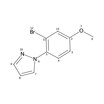 COc1ccc(-n2cccn2)c(Br)c1